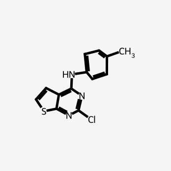 Cc1ccc(Nc2nc(Cl)nc3sccc23)cc1